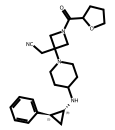 N#CCC1(N2CCC(N[C@@H]3C[C@H]3c3ccccc3)CC2)CN(C(=O)C2CCCO2)C1